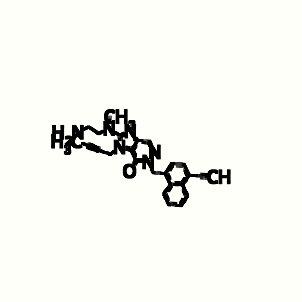 C#Cc1ccc(Cn2ncc3nc(N(C)CCN)n(CC#CC)c3c2=O)c2ccccc12